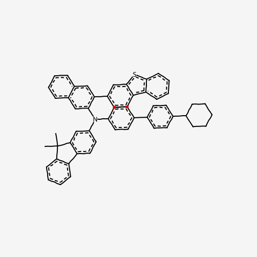 CC1(C)c2ccccc2-c2ccc(N(c3ccc(-c4ccc(C5CCCCC5)cc4)cc3)c3cc4ccccc4cc3-c3ccc4c(c3)sc3ccccc34)cc21